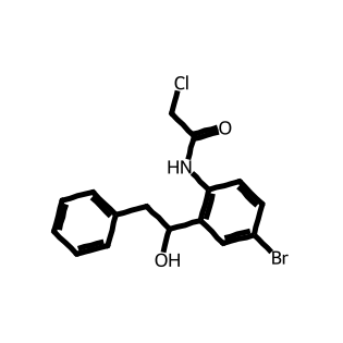 O=C(CCl)Nc1ccc(Br)cc1C(O)Cc1ccccc1